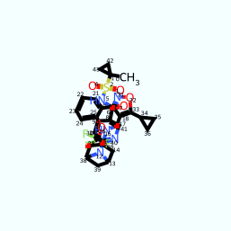 CC1(S(=O)(=O)NC(=O)c2ccc(N3C4CC(NCc5c(-c6ccccc6OC(F)(F)F)noc5C5CC5)CC3C4)nc2)CC1